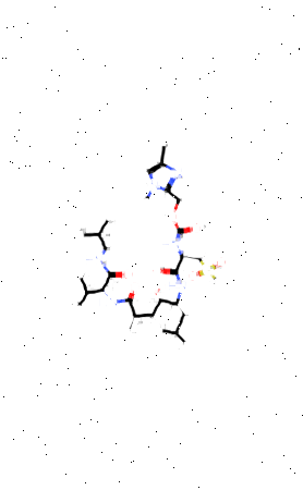 Cc1cn(C)c(COC(=O)N[C@@H](CS(C)(=O)=O)C(=O)N[C@@H](CC(C)C)[C@@H](O)C[C@@H](C)C(=O)N[C@H](C(=O)NCC(C)C)C(C)C)n1